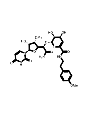 COc1ccc(CCNC(=O)C2=C[C@H](O)[C@H](O)[C@@H](O[C@@H](C(N)=O)C3O[C@@H](n4ccc(=O)[nH]c4=O)[C@H](O)[C@@H]3OC)O2)cc1